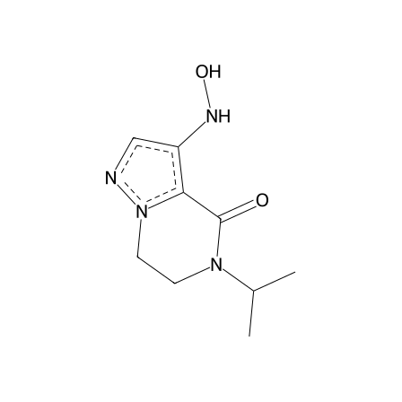 CC(C)N1CCn2ncc(NO)c2C1=O